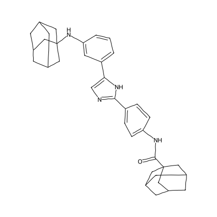 O=C(Nc1ccc(-c2ncc(-c3cccc(NC45CC6CC(CC(C6)C4)C5)c3)[nH]2)cc1)C12CC3CC(CC(C3)C1)C2